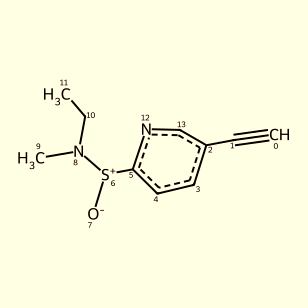 C#Cc1ccc([S+]([O-])N(C)CC)nc1